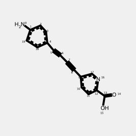 Nc1ccc(C#CC#Cc2ccc(C(=O)O)nc2)cc1